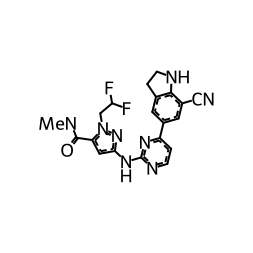 CNC(=O)c1cc(Nc2nccc(-c3cc(C#N)c4c(c3)CCN4)n2)nn1CC(F)F